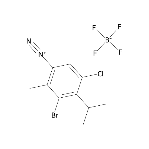 Cc1c([N+]#N)cc(Cl)c(C(C)C)c1Br.F[B-](F)(F)F